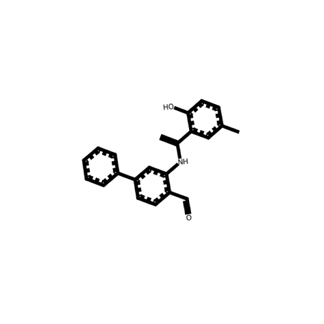 C=C(Nc1cc(-c2ccccc2)ccc1C=O)c1cc(C)ccc1O